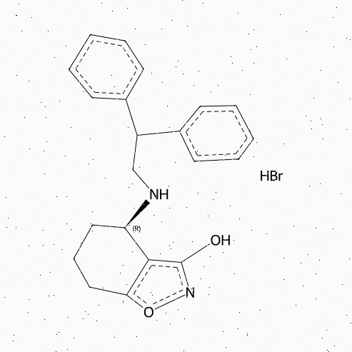 Br.Oc1noc2c1[C@H](NCC(c1ccccc1)c1ccccc1)CCC2